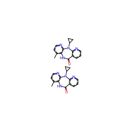 Cc1ccnc2c1NC(=O)c1cccnc1N2C1CC1.Cc1ccnc2c1NC(=O)c1cccnc1N2C1CC1